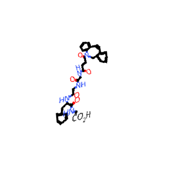 O=C(O)CNC(=O)C(Cc1ccccc1)NC(=O)CNC(=O)CNC(=O)CCC(=O)N1Cc2ccccc2C#Cc2ccccc21